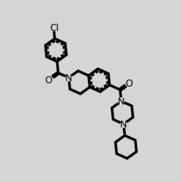 O=C(c1ccc2c(c1)CCN(C(=O)c1ccc(Cl)cc1)C2)N1CCN(C2CCCCC2)CC1